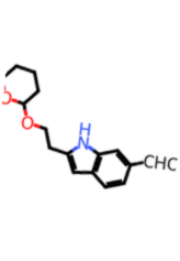 O=Cc1ccc2cc(CCOC3CCCCO3)[nH]c2c1